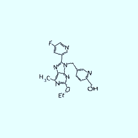 CCOc1nc(C)c2nc(-c3cncc(F)c3)n(Cc3ccc(CO)nc3)c2n1